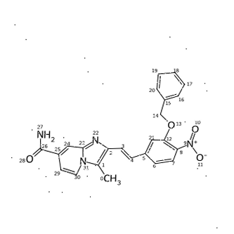 Cc1c(C=Cc2ccc([N+](=O)[O-])c(OCc3ccccc3)c2)nc2cc(C(N)=O)ccn12